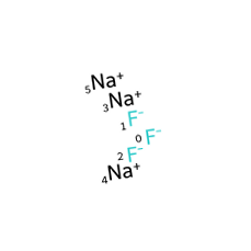 [F-].[F-].[F-].[Na+].[Na+].[Na+]